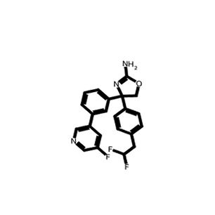 NC1=NC(c2ccc(CC(F)F)cc2)(c2cccc(-c3cncc(F)c3)c2)CO1